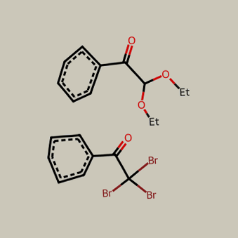 CCOC(OCC)C(=O)c1ccccc1.O=C(c1ccccc1)C(Br)(Br)Br